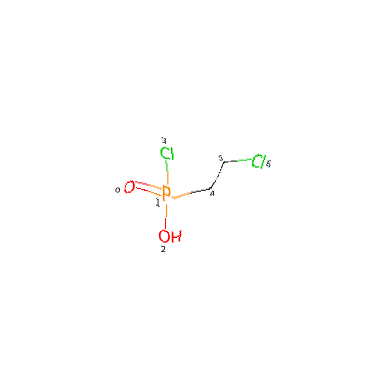 O=P(O)(Cl)CCCl